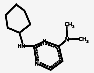 CN(C)c1ccnc(NC2CC[CH]CC2)n1